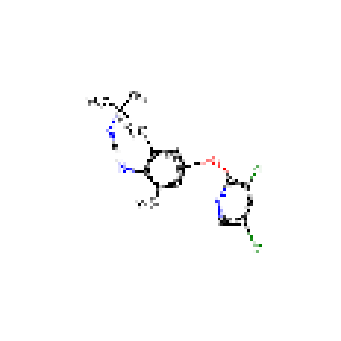 Cc1cc(Oc2ncc(Cl)cc2Cl)cc(C)c1N=C=NC(C)(C)C